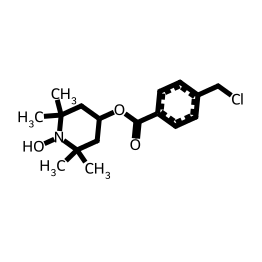 CC1(C)CC(OC(=O)c2ccc(CCl)cc2)CC(C)(C)N1O